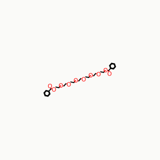 O=C(OCCOCCOCCOCCOCCOCCOCCOC(=O)c1ccccc1)c1ccccc1